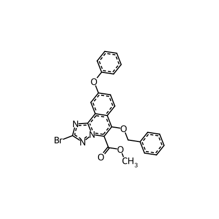 COC(=O)c1c(OCc2ccccc2)c2ccc(Oc3ccccc3)cc2c2nc(Br)nn12